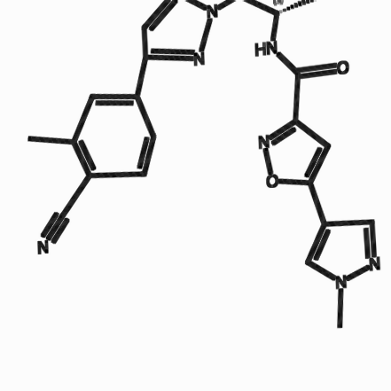 Cc1cc(-c2ccn(C[C@H](C)NC(=O)c3cc(-c4cnn(C)c4)on3)n2)ccc1C#N